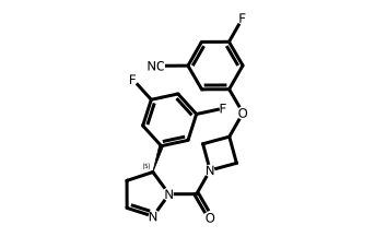 N#Cc1cc(F)cc(OC2CN(C(=O)N3N=CC[C@H]3c3cc(F)cc(F)c3)C2)c1